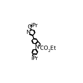 CCOC(=O)C1Cc2cc(-c3ccc(OC(C)C)nc3)ccc2N1c1ccc(C(C)C)cc1